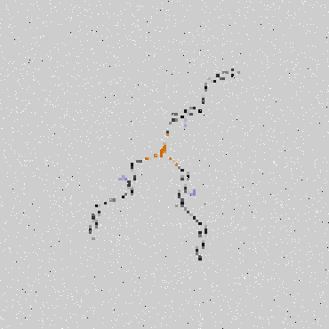 C=C/C=C/P(/C=C/C=C)/C=C/C=C